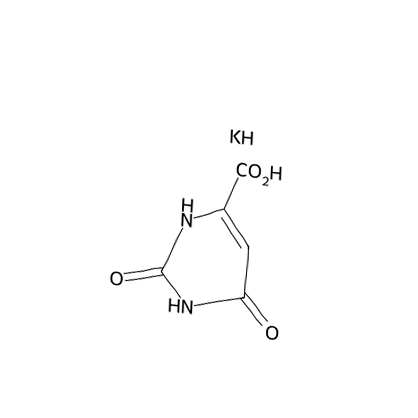 O=C(O)c1cc(=O)[nH]c(=O)[nH]1.[KH]